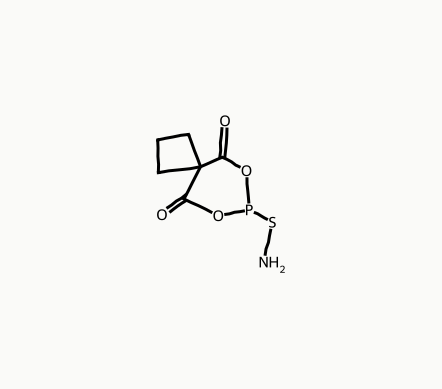 NSP1OC(=O)C2(CCC2)C(=O)O1